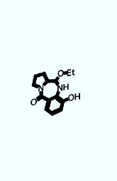 CCOC1Nc2c(O)cccc2C(=O)N2CCCC12